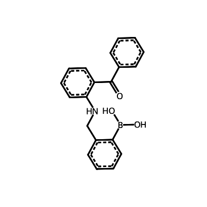 O=C(c1ccccc1)c1ccccc1NCc1ccccc1B(O)O